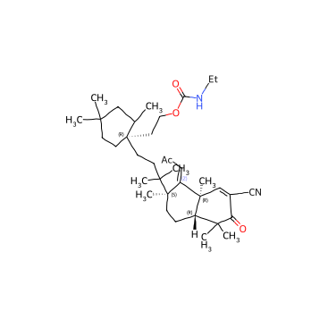 CCNC(=O)OCC[C@]1(CCC(C)(C)[C@]2(C)CC[C@H]3C(C)(C)C(=O)C(C#N)=C[C@]3(C)/C2=C/C(C)=O)CCC(C)(C)CC1C